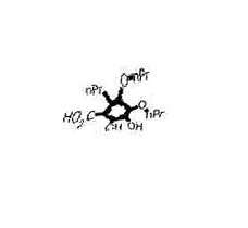 CCCOc1c(O)c(O)c(C(=O)O)c(CCC)c1OCCC